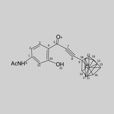 CC(=O)Nc1ccc(C(=O)C#C[C]23[CH]4[CH]5[CH]6[CH]2[Fe]56432789[CH]3[CH]2[CH]7[CH]8[CH]39)c(O)c1